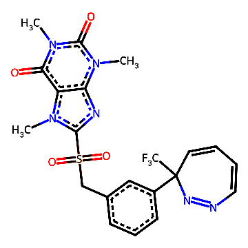 Cn1c(=O)c2c(nc(S(=O)(=O)Cc3cccc(C4(C(F)(F)F)C=CC=CN=N4)c3)n2C)n(C)c1=O